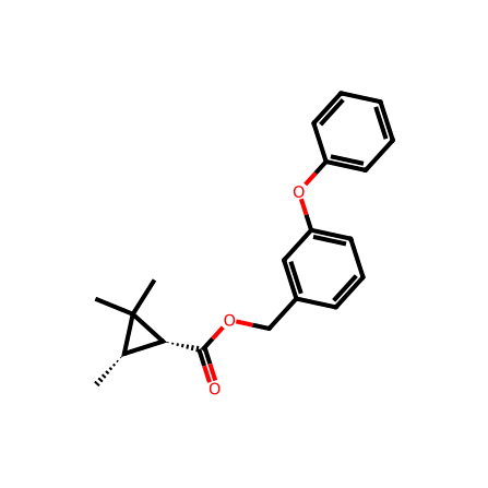 C[C@H]1[C@@H](C(=O)OCc2cccc(Oc3ccccc3)c2)C1(C)C